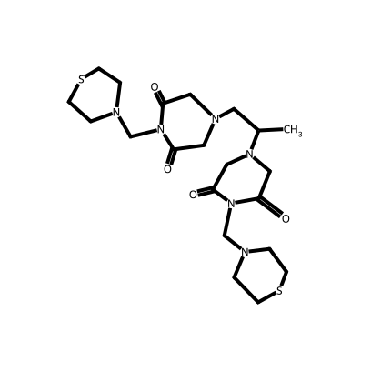 CC(CN1CC(=O)N(CN2CCSCC2)C(=O)C1)N1CC(=O)N(CN2CCSCC2)C(=O)C1